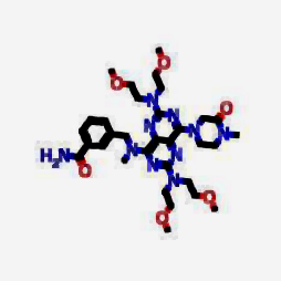 COCCN(CCOC)c1nc(N2CCN(C)C(=O)C2)c2nc(N(CCOC)CCOC)nc(N(C)Cc3cccc(C(N)=O)c3)c2n1